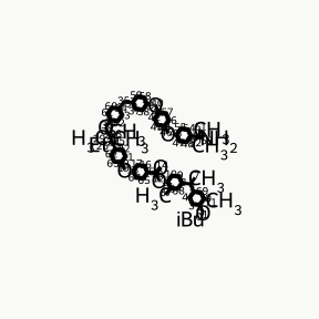 CCC(C)Oc1ccc(C(C)c2ccc(OC(=O)c3ccc(Oc4ccc(C(C)(CC)C(C)(C)Oc5ccc(Cc6ccc(Oc7ccc(Oc8ccc(C(C)(C)N)cc8)cc7)cc6)cc5)cc4)cc3)c(C)c2)cc1C